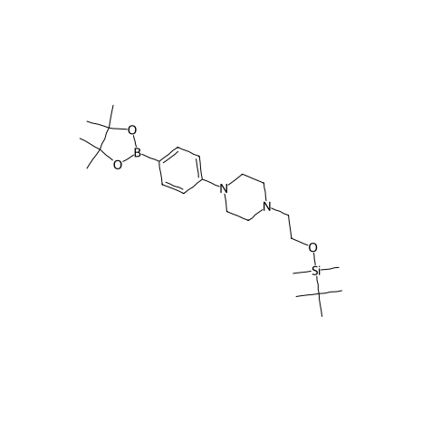 CC1(C)OB(c2ccc(N3CCN(CCO[Si](C)(C)C(C)(C)C)CC3)cc2)OC1(C)C